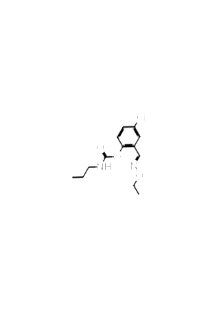 CCCNC(=O)Oc1ccc(Cl)cc1C=NOCC